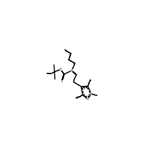 CCCCN(CCc1c(C)nn(C)c1C)C(=O)OC(C)(C)C